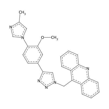 COc1cc(-c2cn(Cc3c4ccccc4nc4ccccc34)nn2)ccc1-n1cnc(C)c1